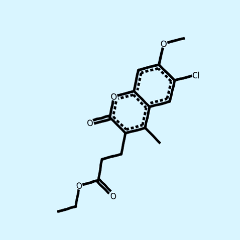 CCOC(=O)CCc1c(C)c2cc(Cl)c(OC)cc2oc1=O